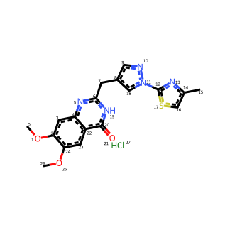 COc1cc2nc(Cc3cnn(-c4nc(C)cs4)c3)[nH]c(=O)c2cc1OC.Cl